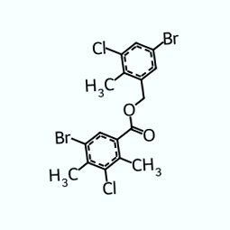 Cc1c(Cl)cc(Br)cc1COC(=O)c1cc(Br)c(C)c(Cl)c1C